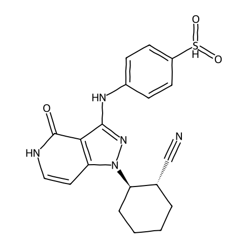 N#C[C@@H]1CCCC[C@H]1n1nc(Nc2ccc([SH](=O)=O)cc2)c2c(=O)[nH]ccc21